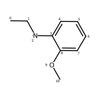 CC[N]c1ccccc1OC